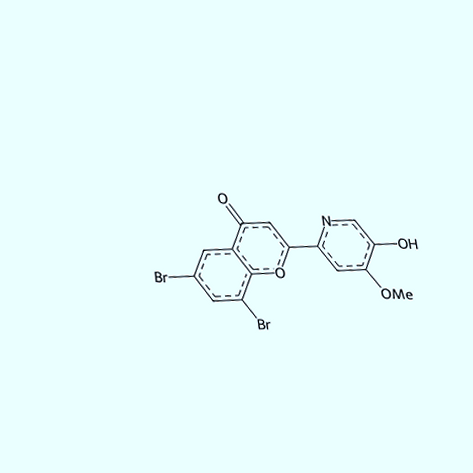 COc1cc(-c2cc(=O)c3cc(Br)cc(Br)c3o2)ncc1O